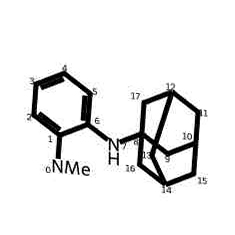 CNc1ccccc1NC12CC3CC(CC(C3)C1)C2